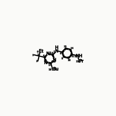 CCC(C)(C)c1nc(Nc2ccc(NC(C)C)cc2)nc(C(C)(C)C)n1